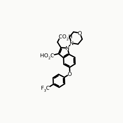 O=C(O)Cc1c(C(=O)O)c2cc(Oc3ccc(C(F)(F)F)cc3)ccc2n1N1CCOCC1